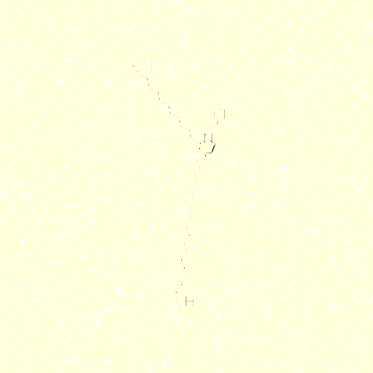 CCCCCCCCCCCCCCCCCCN1C=CN(CCC)C1CCCCCCCCCCCC